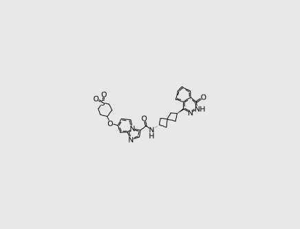 O=C(N[C@H]1CC2(C1)C[C@H](c1n[nH]c(=O)c3ccccc31)C2)c1cnc2cc(OC3CCS(=O)(=O)CC3)ccn12